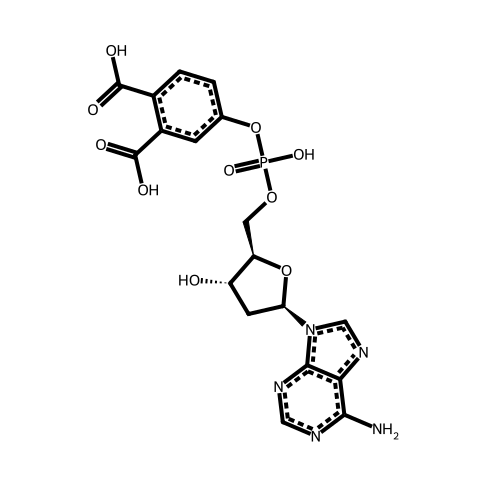 Nc1ncnc2c1ncn2[C@H]1C[C@H](O)[C@@H](COP(=O)(O)Oc2ccc(C(=O)O)c(C(=O)O)c2)O1